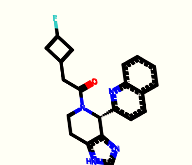 O=C(CC1CC(F)C1)N1CCc2[nH]cnc2[C@H]1c1ccc2ccccc2n1